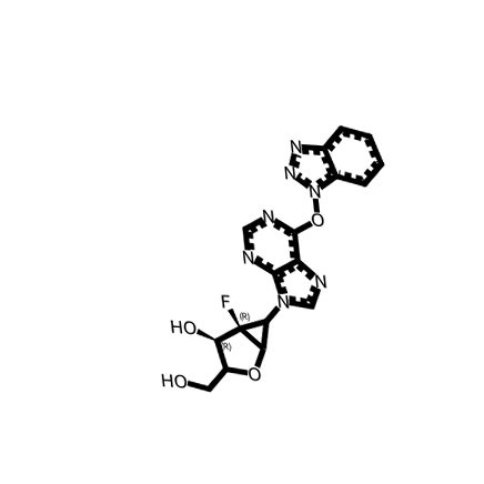 OCC1OC2C(n3cnc4c(On5nnc6ccccc65)ncnc43)[C@@]2(F)[C@@H]1O